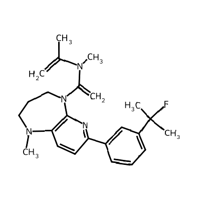 C=C(C)N(C)C(=C)N1CCCN(C)c2ccc(-c3cccc(C(C)(C)F)c3)nc21